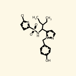 CCC(CC)C(NS(=O)(=O)c1ccc(Cl)s1)c1ccnn1Cc1ccc(O)cc1